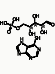 O=C[C@H](O)[C@H](O)[C@H](O)COP(=O)(O)O.Sc1ncnc2nc[nH]c12